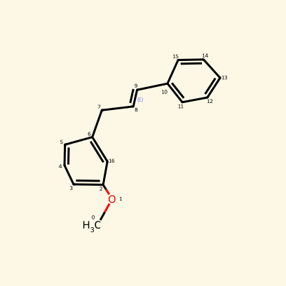 COc1cccc(C/C=C/c2ccccc2)c1